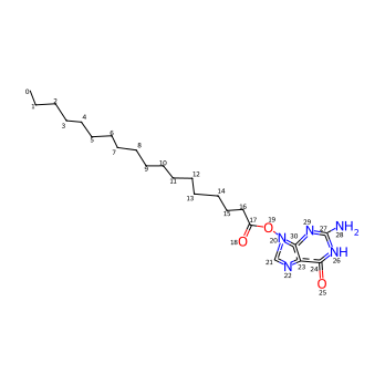 CCCCCCCCCCCCCCCCCC(=O)On1cnc2c(=O)[nH]c(N)nc21